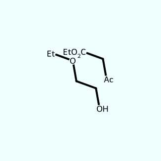 CCOC(=O)CC(C)=O.CCOCCO